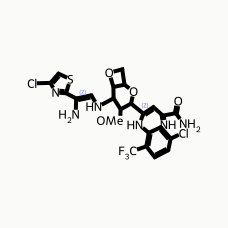 COC1C(/C(=C/C(=N)C(N)=O)Nc2cc(Cl)ccc2C(F)(F)F)OC2COC2C1N/C=C(\N)c1nc(Cl)cs1